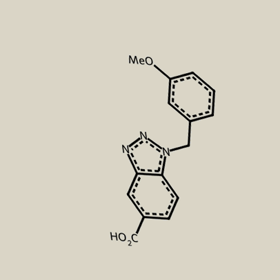 COc1cccc(Cn2nnc3cc(C(=O)O)ccc32)c1